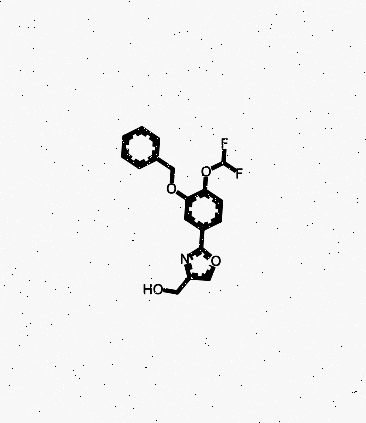 OCc1coc(-c2ccc(OC(F)F)c(OCc3ccccc3)c2)n1